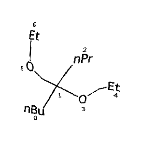 CCCCC(CCC)(OCC)OCC